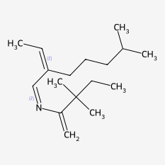 C=C(/N=C\C(=C/C)CCCC(C)C)C(C)(C)CC